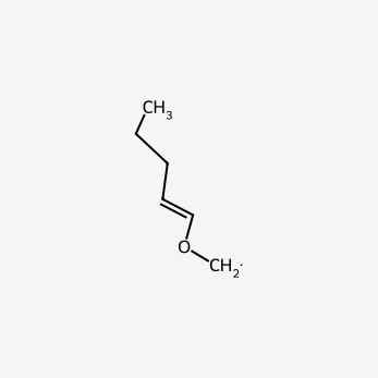 [CH2]OC=CCCC